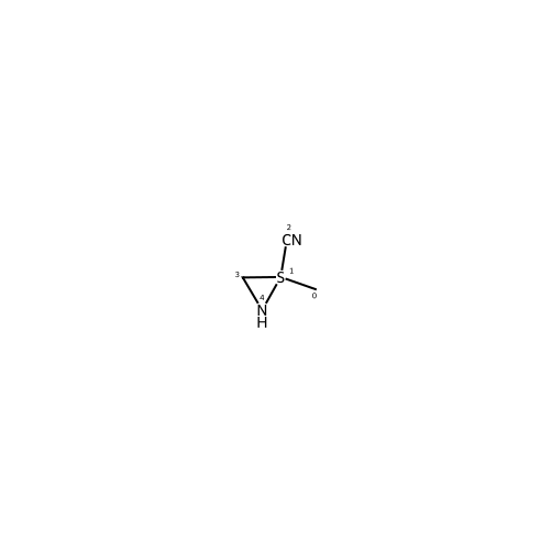 CS1(C#N)CN1